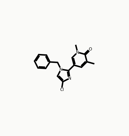 Cc1cc(-c2nc(Cl)cn2Cc2ccccc2)cn(C)c1=O